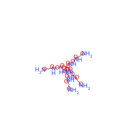 NOCCCCCC(=O)NCCOCCNC(=O)OCC(COC(=O)NCCOCCNC(=O)CCCCCON)(COC(=O)NCCOCCNC(=O)CCCCCON)COC(=O)NCCOCCNC(=O)CCCCCON